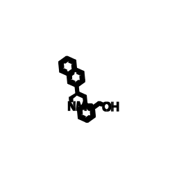 CNC[C@H](Cc1ccccc1CO)c1ccc2ccccc2c1